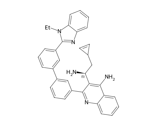 CCn1c(-c2cccc(-c3cccc(-c4nc5ccccc5c(N)c4[C@@H](N)CC4C=C4)c3)c2)nc2ccccc21